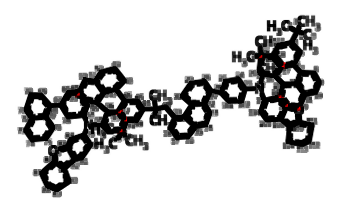 CC(C)(C)c1cc(-c2cccc3cccc(-c4ccccc4N(c4ccc(-c5cccc6c5ccc5cccc(CC(C)(C)c7cc(-c8cccc9cccc(-c%10ccccc%10N(c%10cccc(-c%11cccc%12ccccc%11%12)c%10)c%10ccc%11c(c%10)oc%10ccccc%10%11)c89)cc(C(C)(C)C)c7)c56)cc4)c4ccc5c(c4)oc4ccccc45)c23)cc(C(C)(C)C)c1